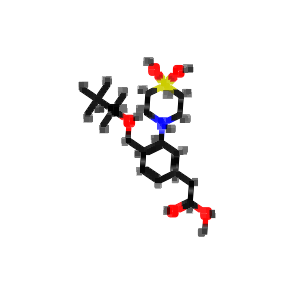 COC(=O)Cc1ccc(CO[Si](C)(C)C(C)(C)C)c(N2CCS(=O)(=O)CC2)c1